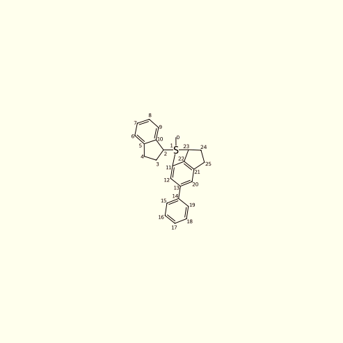 CS1(C2CCc3ccccc32)c2cc(-c3ccccc3)cc3c2C1CC3